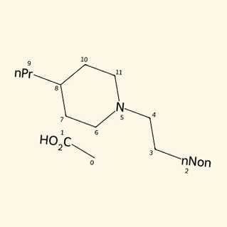 CC(=O)O.CCCCCCCCCCCN1CCC(CCC)CC1